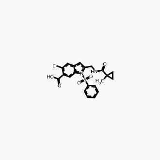 CC1(C(=O)NCc2cc3cc(Cl)c(C(=O)O)cc3n2S(=O)(=O)c2ccccc2)CC1